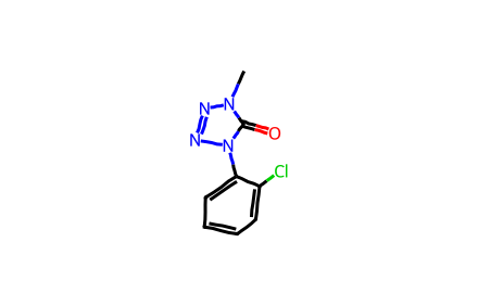 Cn1nnn(-c2ccccc2Cl)c1=O